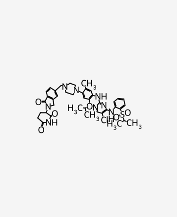 Cc1cc(Nc2ncc(Cl)c(Nc3ccccc3S(=O)(=O)C(C)C)n2)c(OC(C)C)cc1N1CCN(Cc2ccc3c(c2)CN(C2CCC(=O)NC2=O)C3=O)CC1